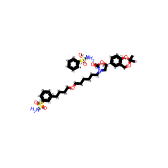 CC1(C)OCc2cc([C@@H]3CN(CCCCCCOCCCCc4cccc(S(N)(=O)=O)c4)C(=O)O3)ccc2O1.NS(=O)(=O)c1ccccc1